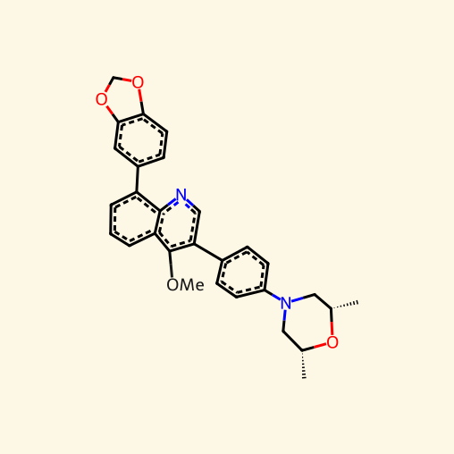 COc1c(-c2ccc(N3C[C@@H](C)O[C@@H](C)C3)cc2)cnc2c(-c3ccc4c(c3)OCO4)cccc12